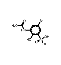 CC(=O)Nc1cc(Br)cc([As](=O)(O)O)c1O